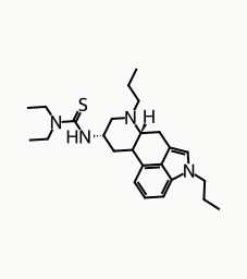 CCCN1C[C@@H](NC(=S)N(CC)CC)CC2c3cccc4c3c(cn4CCC)C[C@H]21